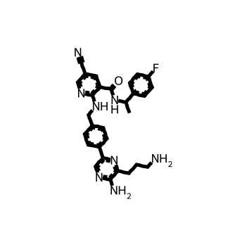 CC(NC(=O)c1cc(C#N)cnc1NCc1ccc(-c2cnc(N)c(CCCN)n2)cc1)c1ccc(F)cc1